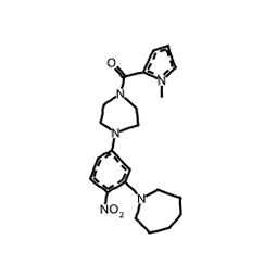 Cn1cccc1C(=O)N1CCN(c2ccc([N+](=O)[O-])c(N3CCCCCC3)c2)CC1